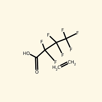 C=C.O=C(O)C(F)(F)C(F)(F)C(F)(F)F